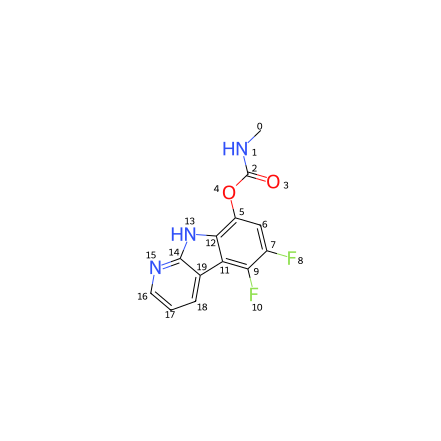 CNC(=O)Oc1cc(F)c(F)c2c1[nH]c1ncccc12